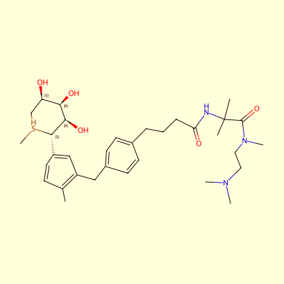 Cc1ccc([C@H]2[C@H](O)[C@H](O)[C@H](O)C[SH]2C)cc1Cc1ccc(CCCC(=O)NC(C)(C)C(=O)N(C)CCN(C)C)cc1